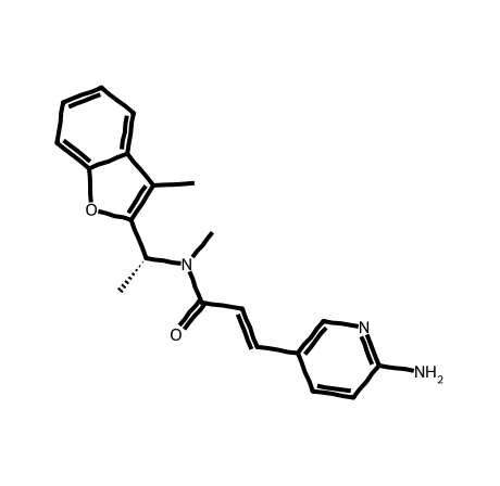 Cc1c([C@@H](C)N(C)C(=O)/C=C/c2ccc(N)nc2)oc2ccccc12